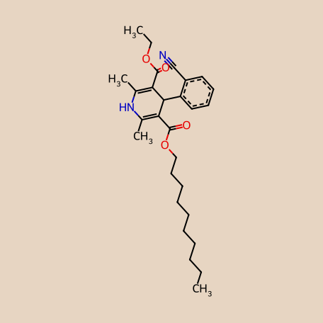 CCCCCCCCCCOC(=O)C1=C(C)NC(C)=C(C(=O)OCC)C1c1ccccc1C#N